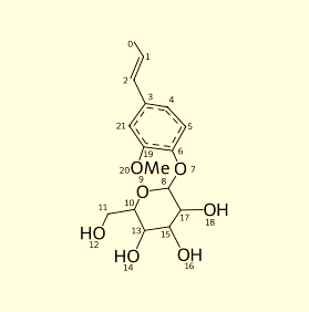 C/C=C/c1ccc(OC2OC(CO)C(O)C(O)C2O)c(OC)c1